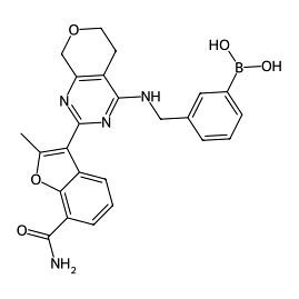 Cc1oc2c(C(N)=O)cccc2c1-c1nc2c(c(NCc3cccc(B(O)O)c3)n1)CCOC2